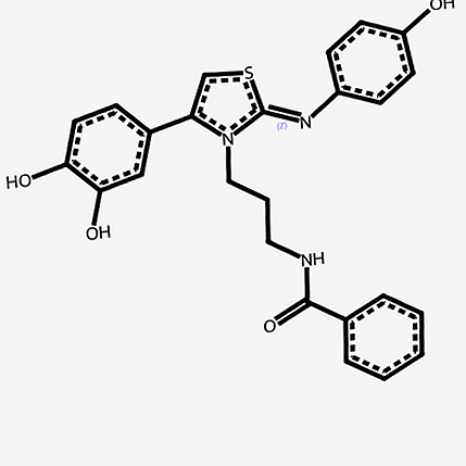 O=C(NCCCn1c(-c2ccc(O)c(O)c2)cs/c1=N\c1ccc(O)cc1)c1ccccc1